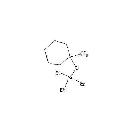 CC[Si](CC)(CC)OC1(C(F)(F)F)CCCCC1